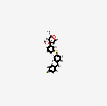 CO[C@]1(c2cccc(Sc3ccc(Cc4ccc(F)cc4)cc3)c2)CCO[C@@H](C)C1